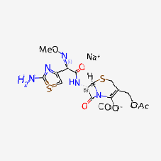 CO/N=C(/C(=O)N[C@H]1C(=O)N2C(C(=O)[O-])=C(COC(C)=O)CS[C@H]12)c1csc(N)n1.[Na+]